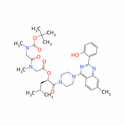 Cc1ccc2c(N3CCN(C(=O)[C@@H](CC(C)C)OC(=O)CN(C)C(=O)CN(C)C(=O)OC(C)(C)C)CC3)nc(-c3ccccc3O)nc2c1